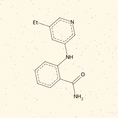 CCc1cncc(Nc2ccccc2C(N)=O)c1